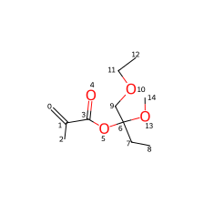 C=C(C)C(=O)OC(CC)(COCC)OC